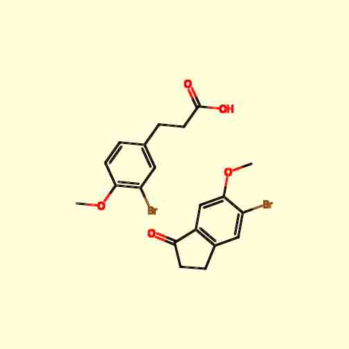 COc1cc2c(cc1Br)CCC2=O.COc1ccc(CCC(=O)O)cc1Br